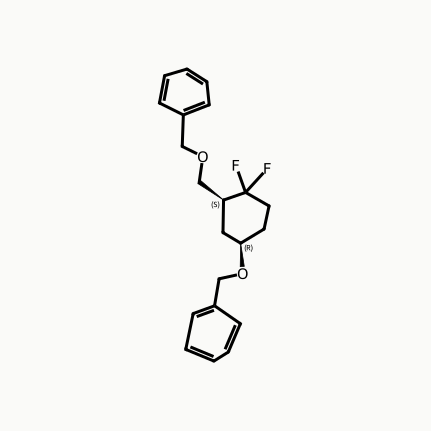 FC1(F)CC[C@@H](OCc2ccccc2)C[C@H]1COCc1ccccc1